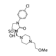 COCCN1CCN(C[C@H]2CCN(c3ccc(Cl)cc3)C2=O)CC1.O=S(=O)(O)O